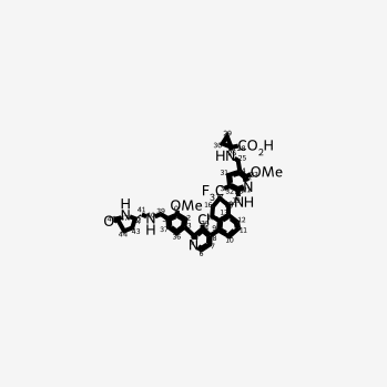 COc1cc(-c2nccc(-c3cccc4c3CCC[C@@H]4Nc3nc(OC)c(CNC4(C(=O)O)CC4)cc3C(F)(F)F)c2Cl)ccc1CNC[C@@H]1CCC(=O)N1